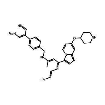 CCC/C=C/N=C(\C=C(/C)NCc1ccc(/C(C=N)=C/NC)cc1)c1cnc2cc(OC3CCNCC3)ccn12